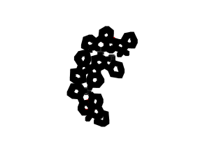 CC1(C)c2ccccc2-c2ccc(N(c3ccc4c(c3)C3(c5ccccc5-c5ccccc53)c3cc(N(c5ccc6c(c5)C(C)(C)c5ccccc5-6)c5ncccc5-c5ccccc5)c5c(c3-4)C3C=CC=CC3O5)c3ccccc3-c3ccccc3)cc21